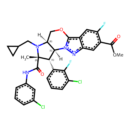 COC(=O)c1cc2nn3c(c2cc1F)OC[C@H]1[C@@H]3[C@H](c2cccc(Cl)c2F)[C@](C)(C(=O)Nc2cccc(Cl)c2)N1CC1CC1